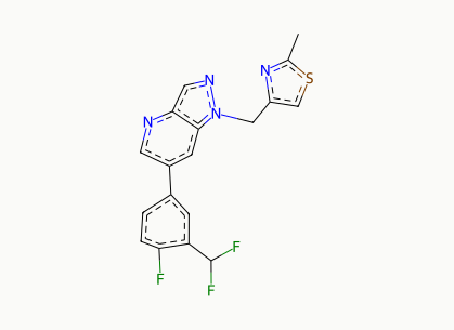 Cc1nc(Cn2ncc3ncc(-c4ccc(F)c(C(F)F)c4)cc32)cs1